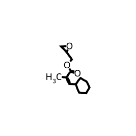 CC(=CC1CCCCC1)C(=O)OCC1CO1